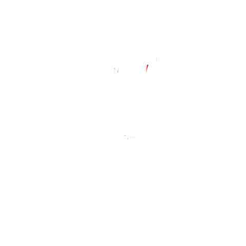 CC(C)(C)CCNC(=O)[C@]1(F)CC[C@H](O)c2ncccc21